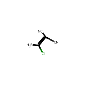 BC(Cl)=C(C#N)C#N